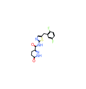 O=C1CCC(C(=O)Nc2ncc(Cc3cc(F)ccc3F)s2)=NN1